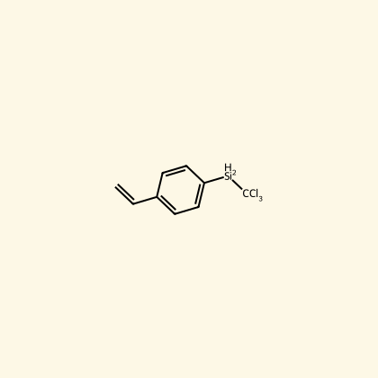 C=Cc1ccc([SiH2]C(Cl)(Cl)Cl)cc1